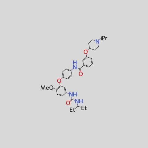 CCC(CC)NC(=O)Nc1ccc(OC)c(Oc2ccc(NC(=O)c3cccc(OC4CCN(C(C)C)CC4)c3)cc2)c1